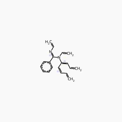 C=C/C=C\C(=C/C=C)N(C=C)/C(=N\C=C)c1ccccc1